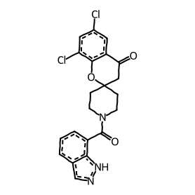 O=C1CC2(CCN(C(=O)c3cccc4cn[nH]c34)CC2)Oc2c(Cl)cc(Cl)cc21